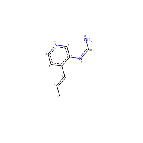 C/C=C/c1ccncc1/N=C\N